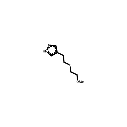 COCCOCCc1cn[nH]c1